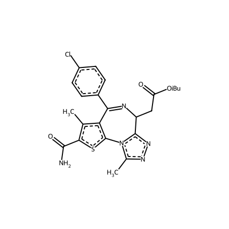 Cc1c(C(N)=O)sc2c1C(c1ccc(Cl)cc1)=NC(CC(=O)OCC(C)C)c1nnc(C)n1-2